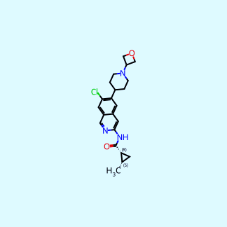 C[C@H]1C[C@H]1C(=O)Nc1cc2cc(C3CCN(C4COC4)CC3)c(Cl)cc2cn1